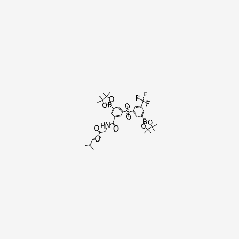 CC(C)COC(=O)CNC(=O)c1cc(B2OC(C)(C)C(C)(C)O2)cc(S(=O)(=O)c2cc(B3OC(C)(C)C(C)(C)O3)cc(C(F)(F)F)c2)c1